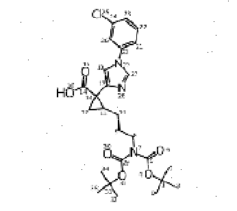 CC(C)(C)OC(=O)N(CCCC1CC1(C(=O)O)c1cn(-c2cccc(Cl)c2)cn1)C(=O)OC(C)(C)C